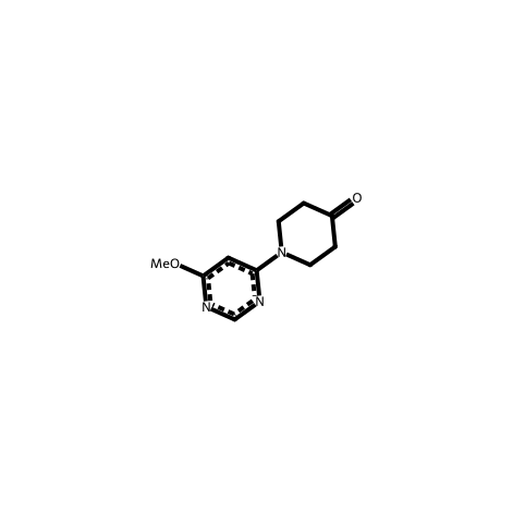 COc1cc(N2CCC(=O)CC2)ncn1